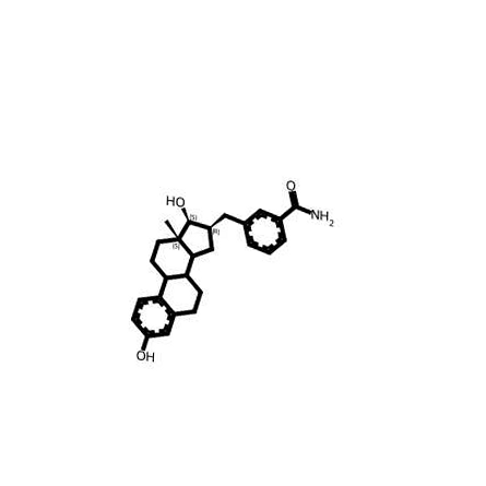 C[C@]12CCC3c4ccc(O)cc4CCC3C1C[C@H](Cc1cccc(C(N)=O)c1)[C@@H]2O